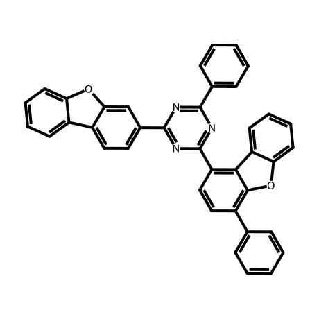 c1ccc(-c2nc(-c3ccc4c(c3)oc3ccccc34)nc(-c3ccc(-c4ccccc4)c4oc5ccccc5c34)n2)cc1